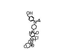 O=c1c(Cl)c(NC[C@@H]2COCCS2(=O)=O)cnn1C1CCC(N(c2ccc(CO)cc2)C2CC2)CC1